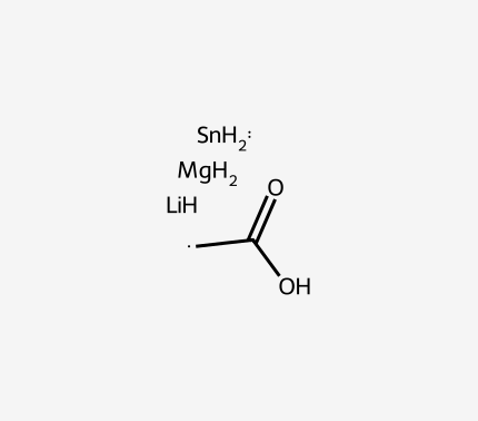 [CH2]C(=O)O.[LiH].[MgH2].[SnH2]